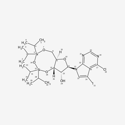 CC(C)[Si]1(C(C)C)OC[C@H]2O[C@@H](n3cc(I)c4c(Cl)ncnc43)[C@H](O)[C@@H]2O[Si](C(C)C)(C(C)C)O1